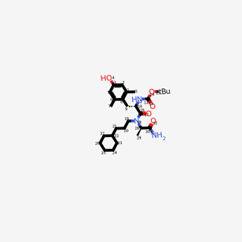 Cc1cc(O)cc(C)c1C[C@H](NC(=O)OC(C)(C)C)C(=O)N(CCCC1CCCCC1)[C@H](C)C(N)=O